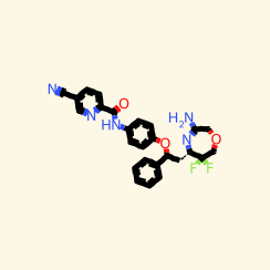 N#Cc1ccc(C(=O)Nc2ccc(OC(C[C@@H]3N=C(N)COCC3(F)F)c3ccccc3)cc2)nc1